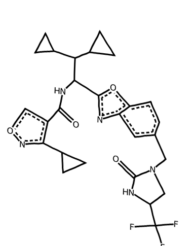 O=C(NC(c1nc2cc(CN3CC(C(F)(F)F)NC3=O)ccc2o1)C(C1CC1)C1CC1)c1conc1C1CC1